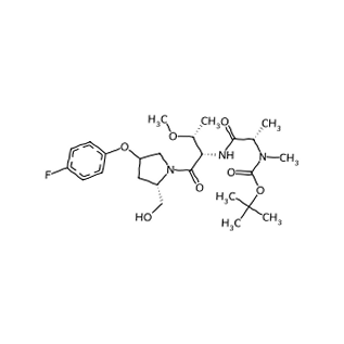 CO[C@H](C)[C@H](NC(=O)[C@H](C)N(C)C(=O)OC(C)(C)C)C(=O)N1CC(Oc2ccc(F)cc2)C[C@H]1CO